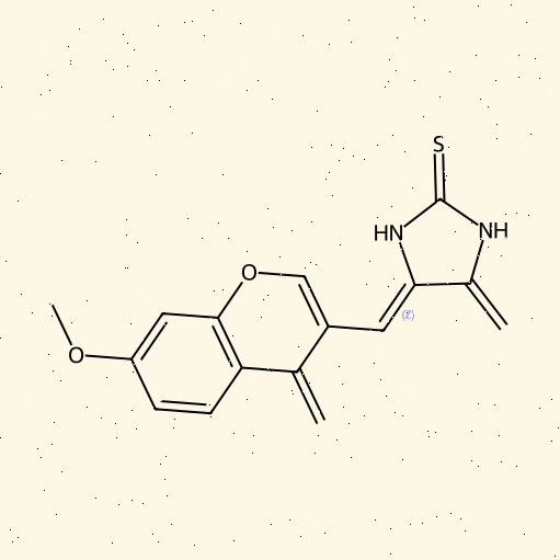 C=C1C(/C=c2\[nH]c(=S)[nH]c2=C)=COc2cc(OC)ccc21